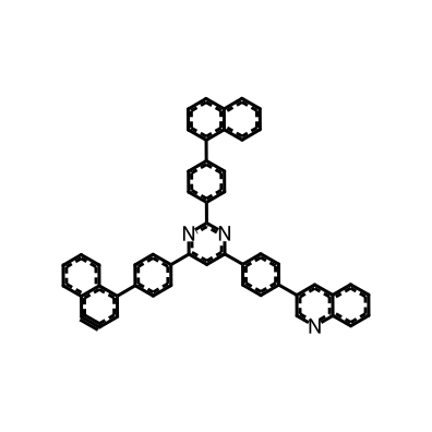 c1cc(-c2ccc(-c3cc(-c4ccc(-c5cnc6ccccc6c5)cc4)nc(-c4ccc(-c5cccc6ccccc56)cc4)n3)cc2)c2ccccc2c#1